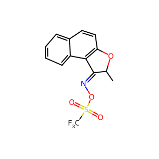 CC1Oc2ccc3ccccc3c2/C1=N/OS(=O)(=O)C(F)(F)F